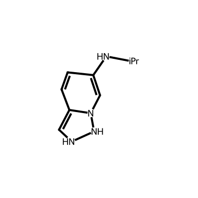 CC(C)NC1=CN2NNC=C2C=C1